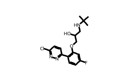 CC(C)(C)NCC(O)COc1cc(F)ccc1-c1ccc(Cl)nn1